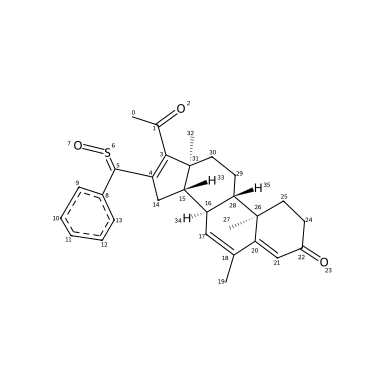 CC(=O)C1=C(C(=S=O)c2ccccc2)C[C@H]2[C@@H]3C=C(C)C4=CC(=O)CC[C@]4(C)[C@H]3CC[C@]12C